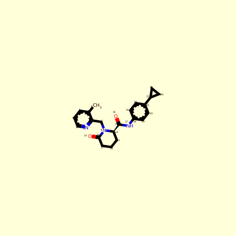 Cc1cccnc1CN1C(=O)CCC[C@@H]1C(=O)Nc1ccc(C2CC2)cc1